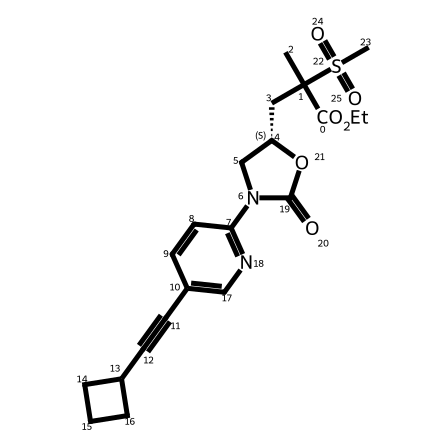 CCOC(=O)C(C)(C[C@H]1CN(c2ccc(C#CC3CCC3)cn2)C(=O)O1)S(C)(=O)=O